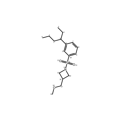 CCCC(CC)c1cccc(S(=O)(=O)N2CC(COC)C2)c1